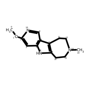 COc1cc2[nH]c3c(c2cn1)CCN(C)CC3